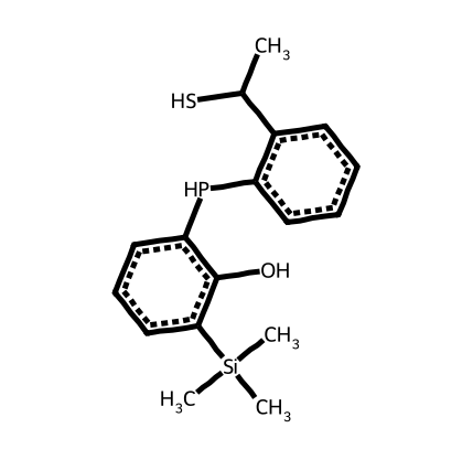 CC(S)c1ccccc1Pc1cccc([Si](C)(C)C)c1O